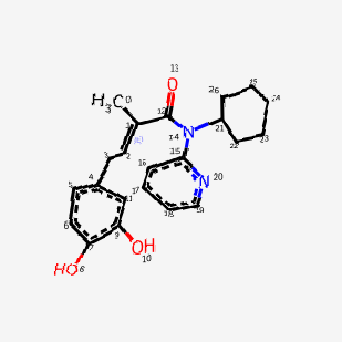 C/C(=C\Cc1ccc(O)c(O)c1)C(=O)N(c1ccccn1)C1CCCCC1